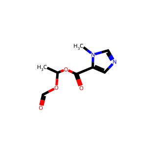 CC(OC=O)OC(=O)c1cncn1C